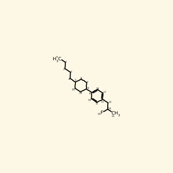 CCCCCC1CCC(c2ccc(CC(C)F)cc2)CC1